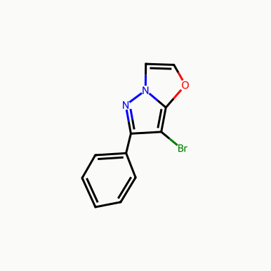 Brc1c(-c2ccccc2)nn2ccoc12